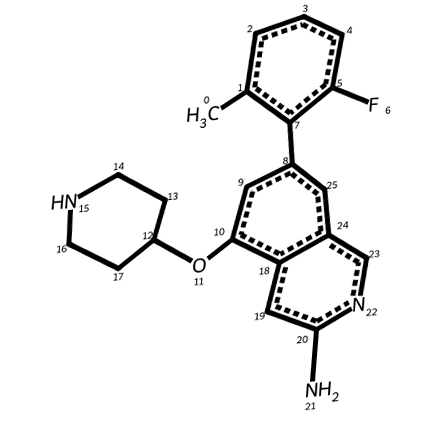 Cc1cccc(F)c1-c1cc(OC2CCNCC2)c2cc(N)ncc2c1